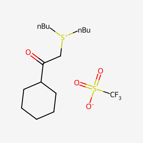 CCCC[S+](CCCC)CC(=O)C1CCCCC1.O=S(=O)([O-])C(F)(F)F